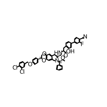 CC[C@@H](c1ccccc1)N1Cc2cc3c(cc2C[C@H]1C(=O)NC(Cc1ccc(-c2ccc(C#N)c(F)c2)cc1)C(=O)O)OC[C@H](c1ccc(OCc2ccc(Cl)c(Cl)c2)cc1)O3